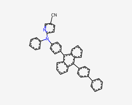 N#Cc1ccc(N(c2ccccc2)c2ccc(-c3c4ccccc4c(-c4ccc(-c5ccccc5)cc4)c4ccccc34)cc2)nc1